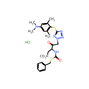 Cc1cc(N(C)C)cc(C)c1Sc1nnn(CC(=O)C(CC(=O)O)NC(=O)SCc2ccccc2)n1.Cl